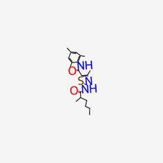 CCCCC(C)C(=O)Nc1nc(C)c(C(=O)Nc2c(C)cc(C)cc2C)s1